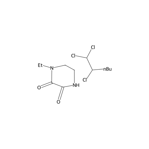 CCCCC(Cl)C(Cl)Cl.CCN1CCNC(=O)C1=O